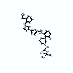 CC(C)(C)OC(=O)N[C@@H]1CCCN(c2c(F)cccc2NC(=O)c2csc(-c3cnn(Cc4ccccc4CO)c3)n2)C1